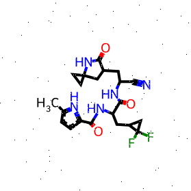 Cc1ccc(C(=O)NC(CC2CC2(F)F)C(=O)NC(C#N)CC2CC3(CC3)NC2=O)[nH]1